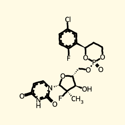 C[C@@]1(F)[C@H](O)[C@@H](CO[P@@]2(=O)OCC[C@H](c3cc(Cl)ccc3F)O2)O[C@H]1n1ccc(=O)[nH]c1=O